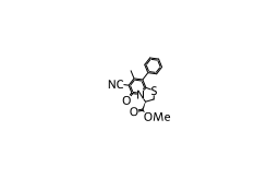 COC(=O)[C@@H]1CSc2c(-c3ccccc3)c(C)c(C#N)c(=O)n21